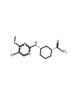 CSc1nc(N[C@H]2CCC[C@@H](C(N)=O)C2)ncc1Cl